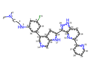 CN(C)CCNc1cc(F)cc(-c2cncc3[nH]c(-c4n[nH]c5ccc(-c6ccccn6)nc45)cc23)c1